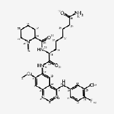 COc1cc2ncnc(Nc3ccc(F)c(Cl)c3)c2cc1NC(=O)[C@H](CCCCCC(N)=O)NC(=O)C1CCCCN1C